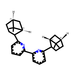 CC1(C)[C@H]2CCC(c3cccc(-c4cccc(C5CC[C@H]6C[C@@H]5C6(C)C)n4)n3)[C@@H]1C2